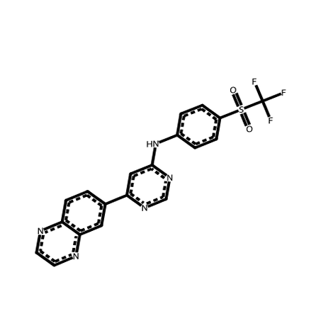 O=S(=O)(c1ccc(Nc2cc(-c3ccc4nccnc4c3)ncn2)cc1)C(F)(F)F